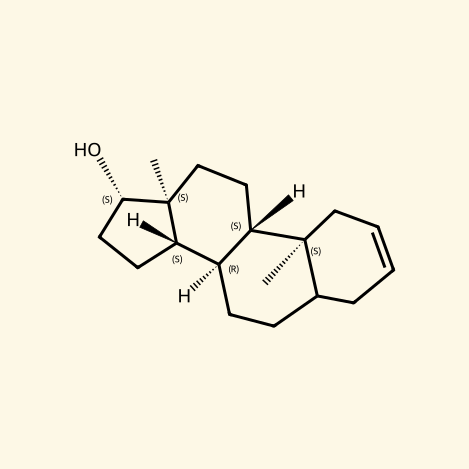 C[C@]12CC[C@H]3[C@@H](CCC4CC=CC[C@@]43C)[C@@H]1CC[C@@H]2O